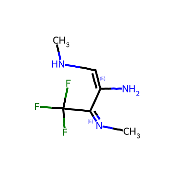 C/N=C(\C(N)=C/NC)C(F)(F)F